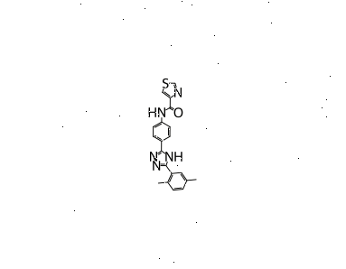 Cc1ccc(C)c(-c2nnc(-c3ccc(NC(=O)c4cscn4)cc3)[nH]2)c1